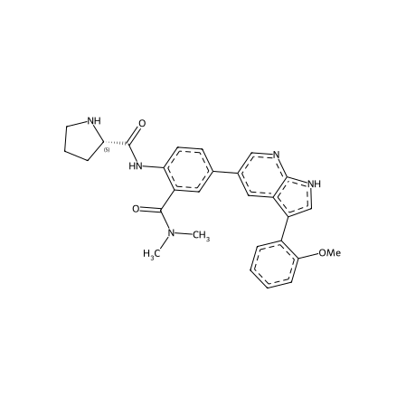 COc1ccccc1-c1c[nH]c2ncc(-c3ccc(NC(=O)[C@@H]4CCCN4)c(C(=O)N(C)C)c3)cc12